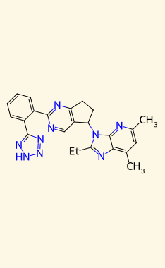 CCc1nc2c(C)cc(C)nc2n1C1CCc2nc(-c3ccccc3-c3nn[nH]n3)ncc21